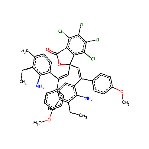 CCc1c(C)ccc(C(=CC2(C=C(c3ccc(OC)cc3)c3ccc(C)c(CC)c3N)OC(=O)c3c(Cl)c(Cl)c(Cl)c(Cl)c32)c2ccc(OC)cc2)c1N